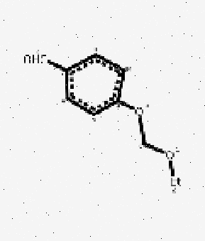 CCOCOc1ccc(C=O)cc1